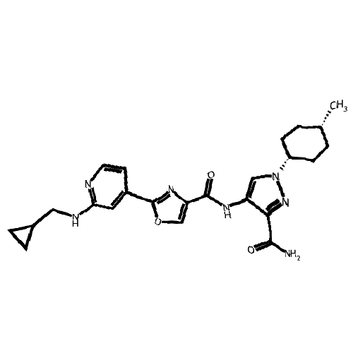 C[C@H]1CC[C@@H](n2cc(NC(=O)c3coc(-c4ccnc(NCC5CC5)c4)n3)c(C(N)=O)n2)CC1